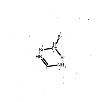 N=CN.[Br][PbH]([Br])[Br]